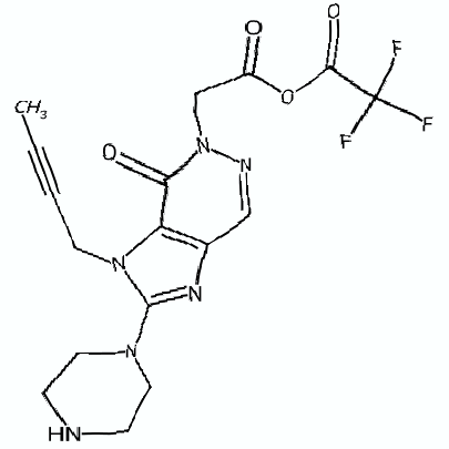 CC#CCn1c(N2CCNCC2)nc2cnn(CC(=O)OC(=O)C(F)(F)F)c(=O)c21